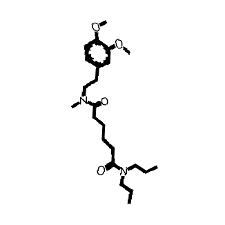 CCCN(CCC)C(=O)CCCCC(=O)N(C)CCc1ccc(OC)c(OC)c1